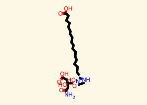 C1=NCCN1.CCCCCCCCCCCCCCCCCC(=O)O.NC(=O)CC(O)(CC(=O)O)C(=O)O